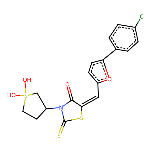 O=C1/C(=C\c2ccc(-c3ccc(Cl)cc3)o2)SC(=S)N1C1CCS(O)(O)C1